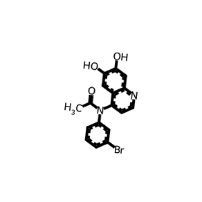 CC(=O)N(c1cccc(Br)c1)c1ccnc2cc(O)c(O)cc12